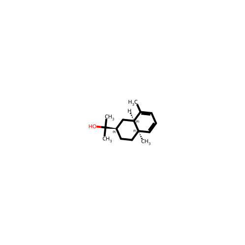 CC1=CC=C[C@@]2(C)CC[C@@H](C(C)(C)O)C[C@@H]12